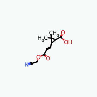 CC1(C)C(C=CC(=O)OCC#N)C1C(=O)O